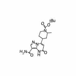 CC1CC(c2cc(=O)[nH]c3c(C(N)=O)cnn23)CCN1C(=O)OC(C)(C)C